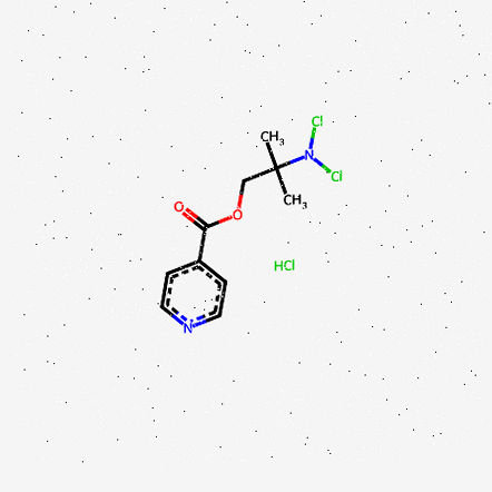 CC(C)(COC(=O)c1ccncc1)N(Cl)Cl.Cl